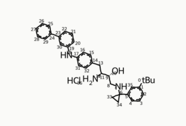 CC(C)(C)c1cccc(C2(NC[C@@H](O)[C@@H](N)Cc3ccc(Nc4cccc(-c5ccccc5)c4)cc3)CC2)c1.Cl